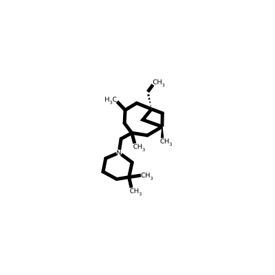 CC[C@]12CC(C)CC(C)(CN3CCCC(C)(C)C3)C[C@@](C)(C1)C2